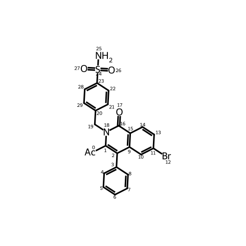 CC(=O)c1c(-c2ccccc2)c2cc(Br)ccc2c(=O)n1Cc1ccc(S(N)(=O)=O)cc1